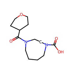 O=C(O)N1CCCCN(C(=O)C2CCOCC2)CC1